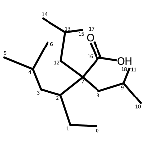 CCC(CC(C)C)C(CC(C)C)(CC(C)C)C(=O)O